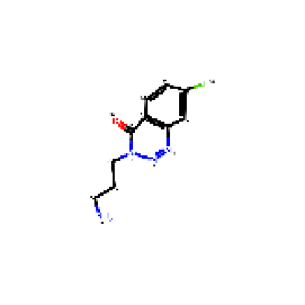 NCCCn1nnc2cc(F)ccc2c1=O